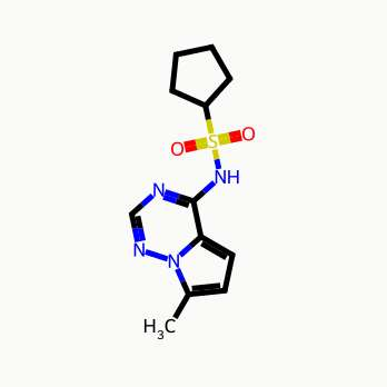 Cc1ccc2c(NS(=O)(=O)C3CCCC3)ncnn12